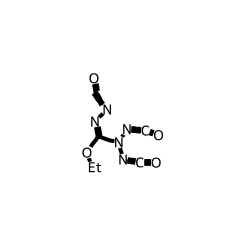 CCOC(=NN=C=O)N(N=C=O)N=C=O